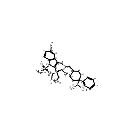 CC[Si](CC)(CC)c1c(COCC2CCC(c3ccccc3)(N(C)C)CC2)c2cc(F)ccc2n1S(C)(=O)=O